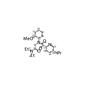 CCN(CC)C(=O)CN(c1ccccc1OC)S(=O)(=O)c1ccc(C(C)C)cn1